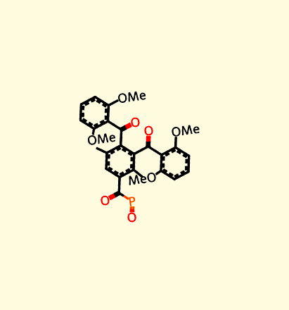 COc1cccc(OC)c1C(=O)c1c(C)cc(C(=O)P=O)c(C)c1C(=O)c1c(OC)cccc1OC